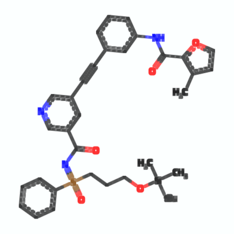 Cc1ccoc1C(=O)Nc1cccc(C#Cc2cncc(C(=O)N=S(=O)(CCCO[Si](C)(C)C(C)(C)C)c3ccccc3)c2)c1